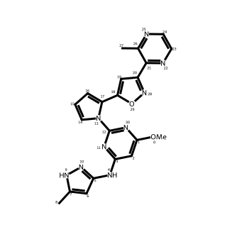 COc1cc(Nc2cc(C)[nH]n2)nc(-n2cccc2-c2cc(-c3nccnc3C)no2)n1